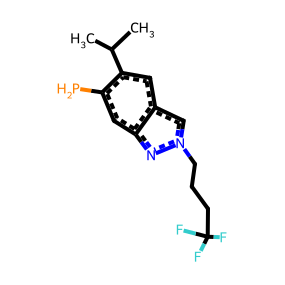 CC(C)c1cc2cn(CCCC(F)(F)F)nc2cc1P